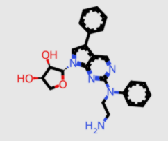 NCCN(c1ccccc1)c1ncc2c(-c3ccccc3)cn([C@@H]3OC[C@@H](O)[C@H]3O)c2n1